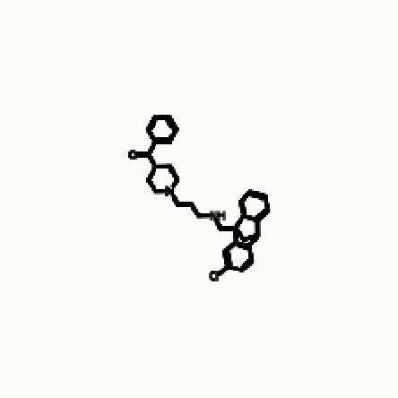 O=C(c1ccccc1)C1CCN(CCCNCC23CC(c4ccccc42)c2ccc(Cl)cc23)CC1